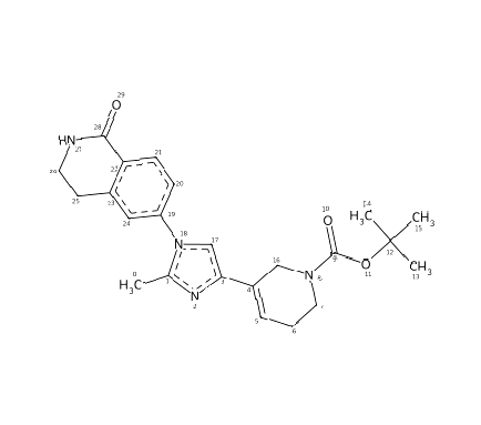 Cc1nc(C2=CCCN(C(=O)OC(C)(C)C)C2)cn1-c1ccc2c(c1)CCNC2=O